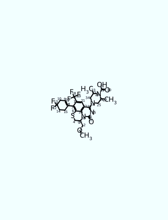 COC[C@H]1CSc2c(C3=CCC(F)(F)CC3)c(C(F)(F)F)cc3c(N4CC(C)N(C(=O)O)C(C)C4)nc(=O)n1c23